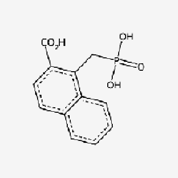 O=C(O)c1ccc2ccccc2c1CP(=O)(O)O